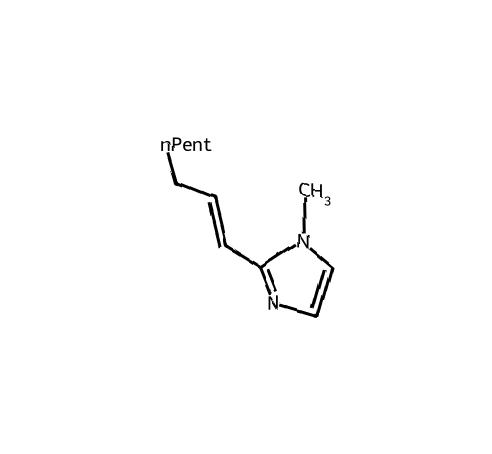 CCCCCCC=Cc1nccn1C